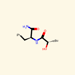 CCCC[C@H](O)C(=O)N[C@@H](CC(C)C)C(N)=O